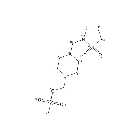 CS(=O)(=O)OCC1CCC(CN2CCCS2(=O)=O)CC1